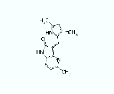 Cc1ccc2c(n1)C(=Cc1[nH]c(C)cc1C)C(=O)N2